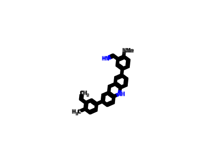 C=Cc1cc(-c2ccc3c(c2)Cc2cc(-c4ccc(NC)c(C=N)c4)ccc2N3)ccc1C